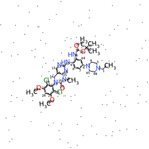 CCN1CCN(c2ccc(Nc3ncc4c(n3)N(C)C(=O)N(c3c(Cl)c(OC)cc(OC)c3Cl)C4)c(NC(=O)OC(C)(C)C)c2)CC1